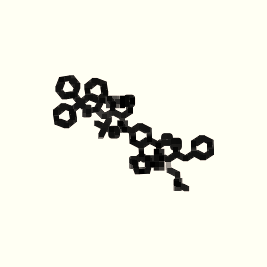 CSCC[C@H](NC(=O)c1ccc(N(OC(C)(C)C)C(C=O)C2CC(SC(c3ccccc3)(c3ccccc3)c3ccccc3)CN2)cc1-c1nccs1)C(=O)Cc1ccccc1